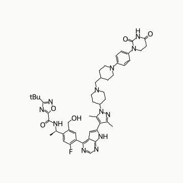 Cc1nn(C2CCN(CC3CCN(c4ccc(N5CCC(=O)NC5=O)cc4)CC3)CC2)c(C)c1-c1cc2c(-c3cc(CO)c([C@@H](C)NC(=O)c4nc(C(C)(C)C)no4)cc3F)ncnc2[nH]1